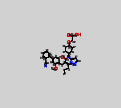 CCCc1c(Cc2ccc(-c3ccccc3C#N)cc2OC)c(=O)n(C2CCC(OCC(=O)O)CC2)c2ccnn12